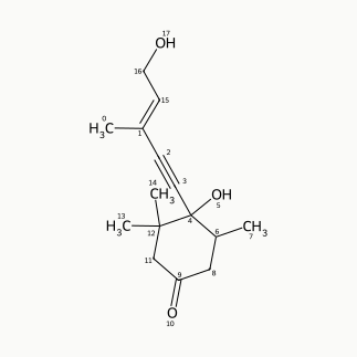 C/C(C#CC1(O)C(C)CC(=O)CC1(C)C)=C\CO